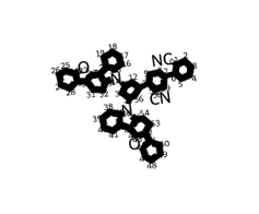 N#Cc1ccccc1-c1ccc(-c2cc(-n3c4ccccc4c4c5oc6ccccc6c5ccc43)cc(-n3c4ccccc4c4c5oc6ccccc6c5ccc43)c2)c(C#N)c1